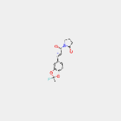 CC1(F)Oc2ccc(/C=C/C(=O)N3CCCC3=O)cc2O1